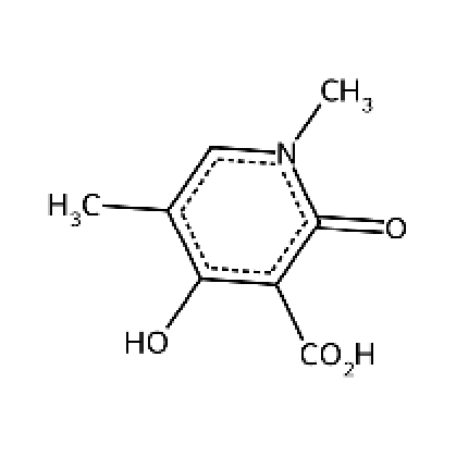 Cc1cn(C)c(=O)c(C(=O)O)c1O